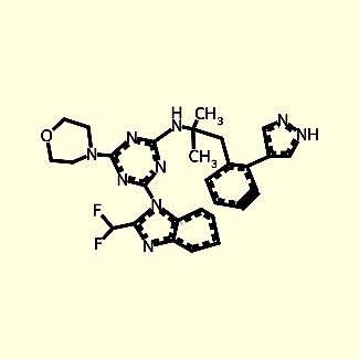 CC(C)(Cc1ccc#cc1-c1cn[nH]c1)Nc1nc(N2CCOCC2)nc(-n2c(C(F)F)nc3ccccc32)n1